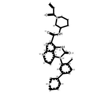 C=CC(=O)N1CCCC(NC(=O)c2sc3nccc4c3c2NC(=O)N4c2cc(-c3ccccc3)ccc2C)C1